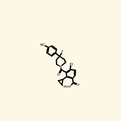 CCc1ccc(C(=O)OC)c(C2CC2)c1C(=O)N1CCC(F)(c2ccc(C#N)cc2)CC1